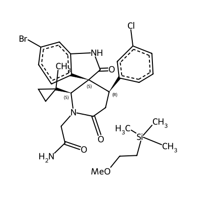 CC1([C@@H]2N(CC(N)=O)C(=O)C[C@H](c3cccc(Cl)c3)[C@@]23C(=O)Nc2cc(Br)ccc23)CC1.COCC[Si](C)(C)C